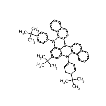 CC(C)(C)c1ccc(N2c3cc(C(C)(C)C)cc4c3B(c3ccc5ccccc5c3N4C3=CCC(C(C)(C)C)C=C3)c3ccc4ccccc4c32)cc1